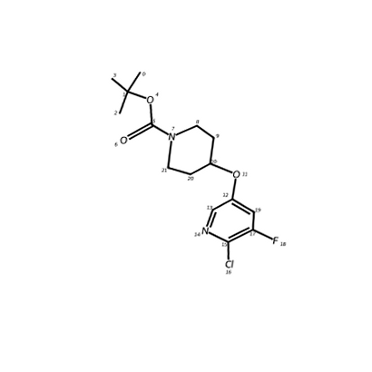 CC(C)(C)OC(=O)N1CCC(Oc2cnc(Cl)c(F)c2)CC1